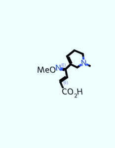 CO/N=C(\C=C\C(=O)O)C1=CCCN(C)C1